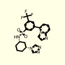 O=S(=O)(N[C@H]1CCC[C@@H](n2cnnc2)C1)c1cc(-c2cccc3nccn23)cc(C(F)(F)F)c1